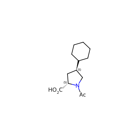 CC(=O)N1C[C@H](C2CCCCC2)C[C@H]1C(=O)O